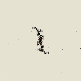 CNCCNCC(O)c1cc([C@@H]2CC3(CC3)[C@@H]3CN2C(=O)N3OS(=O)(=O)ON2C(=O)N3C[C@H]2C2(CC2)C[C@H]3c2cc(C(O)CNCCNC)on2)no1